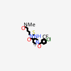 CNC(=O)CCCCn1c(=S)[nH]c2c(c1=O)C[C@@H](C)N(C(=O)c1ccc(Cl)c(C(F)(F)F)c1)C2